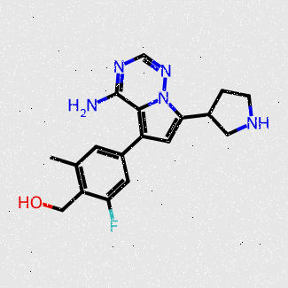 Cc1cc(-c2cc(C3CCNC3)n3ncnc(N)c23)cc(F)c1CO